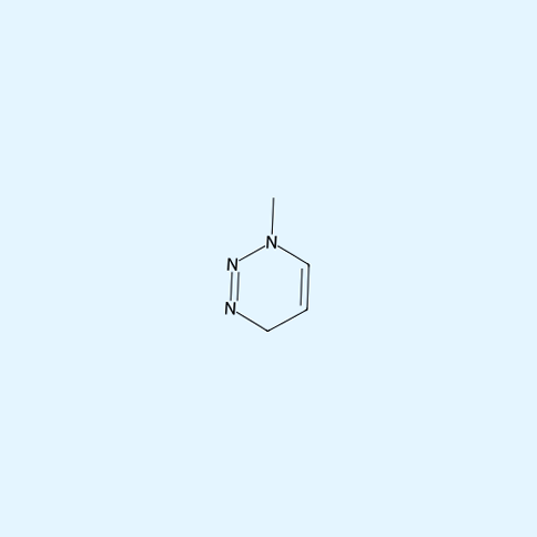 CN1C=CCN=N1